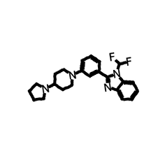 FC(F)n1c(-c2cccc(N3CCC(N4CCCC4)CC3)c2)nc2ccccc21